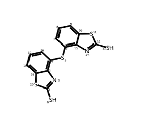 Sc1nc2c(Sc3cccc4sc(S)nc34)cccc2s1